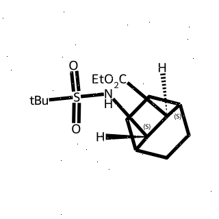 CCOC(=O)[C@H]1C2CCC(CC2)[C@@H]1NS(=O)(=O)C(C)(C)C